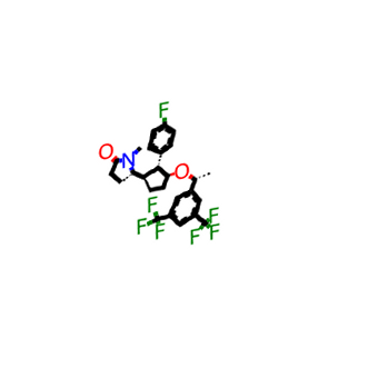 C[C@@H](O[C@H]1CC[C@@H]([C@@H]2CCC(=O)N2C)[C@@H]1c1ccc(F)cc1)c1cc(C(F)(F)F)cc(C(F)(F)F)c1